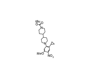 COc1cc(N2CCC(C3CCN(C(=O)OC(C)(C)C)CC3)CC2)c(C2CC2)cc1[N+](=O)[O-]